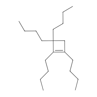 CCCCC1=C(CCCC)C(CCCC)(CCCC)C1